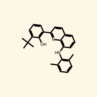 Cc1cccc(C)c1Nc1cccc2ccc(-c3cccc(C(C)(C)C)c3O)nc12